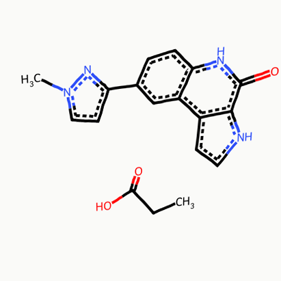 CCC(=O)O.Cn1ccc(-c2ccc3[nH]c(=O)c4[nH]ccc4c3c2)n1